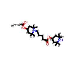 CCCCCC(=O)OC1CC(C)(C)N(CCCCC(=O)OC2CC(C)(C)NC(C)(C)C2)C(C)(C)C1